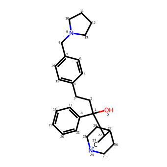 OC(CCc1ccc(CN2CCCC2)cc1)(c1ccccc1)C1CN2CCC1CC2